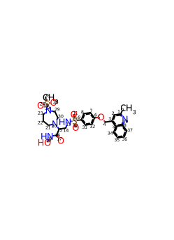 Cc1cc(COc2ccc(S(=O)(=O)NCC(C(=O)NO)N3CCCN(S(C)(=O)=O)CC3)cc2)c2ccccc2n1